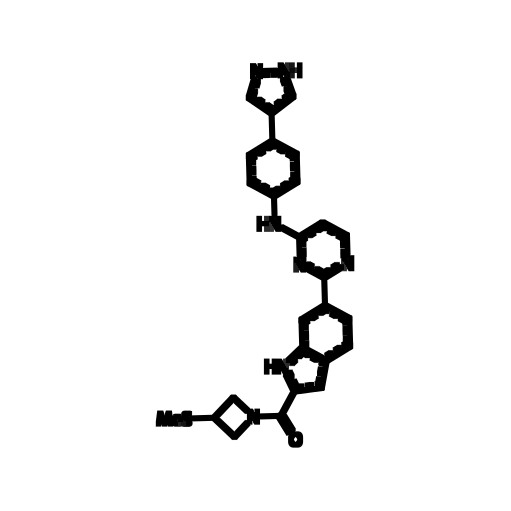 CSC1CN(C(=O)c2cc3ccc(-c4nccc(Nc5ccc(-c6cn[nH]c6)cc5)n4)cc3[nH]2)C1